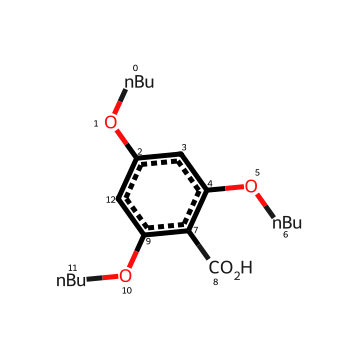 CCCCOc1cc(OCCCC)c(C(=O)O)c(OCCCC)c1